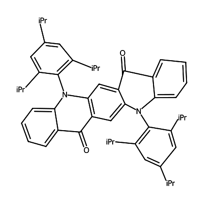 CC(C)c1cc(C(C)C)c(-n2c3ccccc3c(=O)c3cc4c(cc32)c(=O)c2ccccc2n4-c2c(C(C)C)cc(C(C)C)cc2C(C)C)c(C(C)C)c1